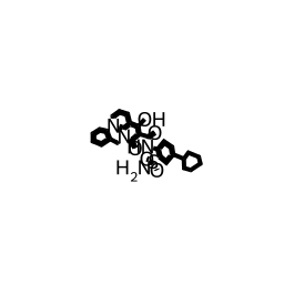 NS(=O)(=O)c1cc(C2CCCCC2)ccc1NC(=O)c1c(O)c2cccnc2n(Cc2ccccc2)c1=O